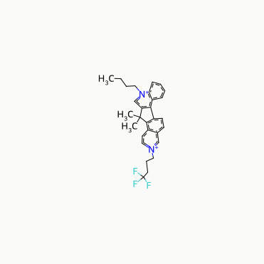 CCCC[n+]1cc2c(c3ccccc31)-c1ccc3c[n+](CCCC(F)(F)F)ccc3c1C2(C)C